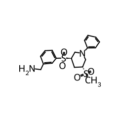 CS(=O)(=O)[C@@H]1C[C@@H](S(=O)(=O)c2cccc(CN)c2)CN(c2ccccc2)C1